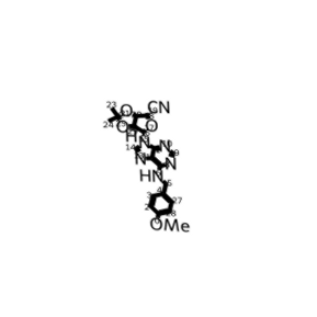 COc1ccc(CNc2ncnc3c2ncn3[C@@H]2O[C@H](C#N)C3OC(C)(C)O[C@@H]32)cc1